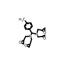 Cc1ccc(C(N(CC2CO2)CC2CO2)N(CC2CO2)CC2CO2)cc1